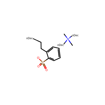 CCCCCCCCCCCCc1ccccc1S(=O)(=O)[O-].CCCCCCCCCC[N+](C)(C)CCCCCCCCCC